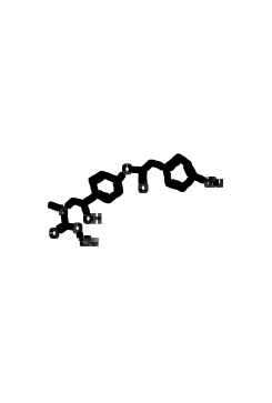 CN(CC(O)c1ccc(OC(=O)Cc2ccc(C(C)(C)C)cc2)cc1)C(=O)OC(C)(C)C